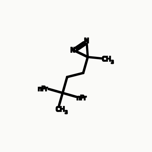 CCCC(C)(CCC)CCC1(C)N=N1